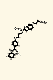 COCCOc1ccc2cc(N(C=O)CCCOc3ccc(C(=O)Nc4ccccc4N)cc3)oc2c1